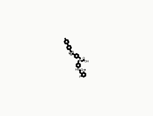 COc1cccc(F)c1CC(=O)Nc1ccc(CN(CC(=O)O)Cc2ccc(-c3noc(-c4ccc(-c5ccc(C)cc5)cc4)n3)cc2)cc1